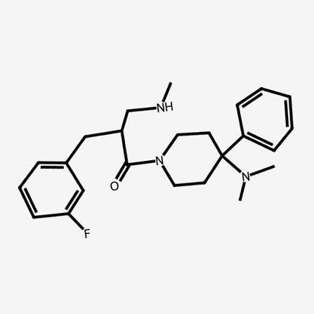 CNCC(Cc1cccc(F)c1)C(=O)N1CCC(c2ccccc2)(N(C)C)CC1